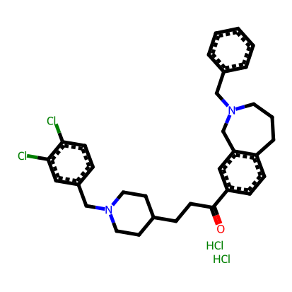 Cl.Cl.O=C(CCC1CCN(Cc2ccc(Cl)c(Cl)c2)CC1)c1ccc2c(c1)CN(Cc1ccccc1)CCC2